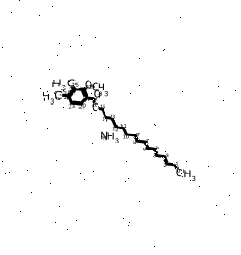 CCCCCCCCCCCCCCCCOC(=O)c1ccc(C)c(C)c1OC.N